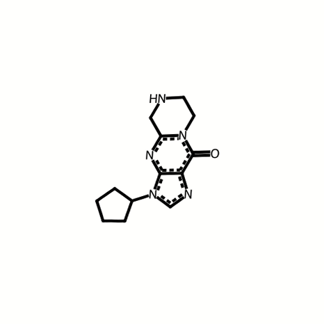 O=c1c2ncn(C3CCCC3)c2nc2n1CCNC2